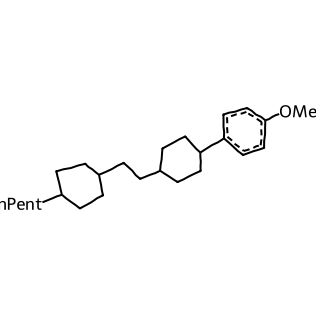 CCCCCC1CCC(CCC2CCC(c3ccc(OC)cc3)CC2)CC1